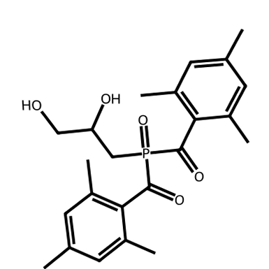 Cc1cc(C)c(C(=O)P(=O)(CC(O)CO)C(=O)c2c(C)cc(C)cc2C)c(C)c1